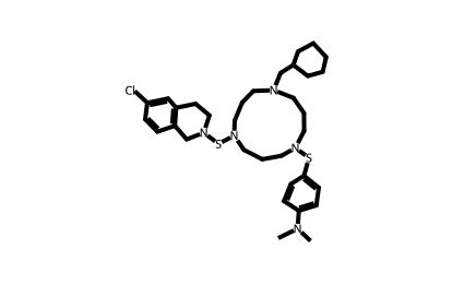 CN(C)c1ccc(SN2CCCN(CC3CCCCC3)CCCN(SN3CCc4cc(Cl)ccc4C3)CCC2)cc1